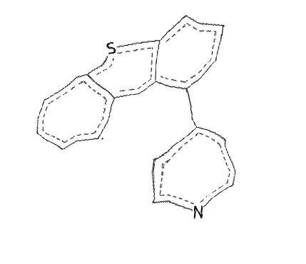 [c]1cccc2sc3cccc(-c4ccncc4)c3c12